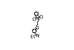 CCC(c1cccc(OCCCCN2C(=O)c3ccccc3C2=O)c1)N(C)C